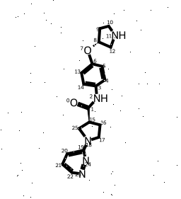 O=C(Nc1ccc(O[C@@H]2CCNC2)cc1)[C@H]1CCN(c2cccnn2)C1